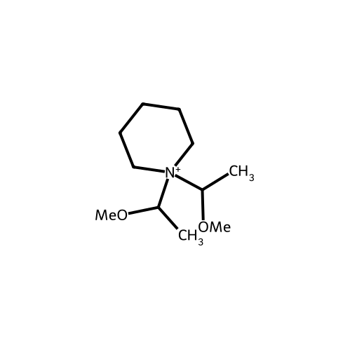 COC(C)[N+]1(C(C)OC)CCCCC1